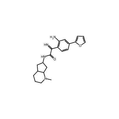 CN1CCCC2CC(NC(=O)C(=N)c3ccc(-c4ccco4)cc3N)CC21